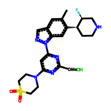 COc1nc(N2CCS(=O)(=O)CC2)cc(-n2ncc3cc(C)c([C@H]4CCNC[C@H]4F)cc32)n1.Cl